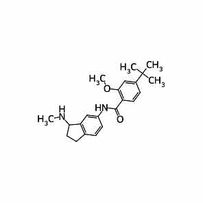 CNC1CCc2ccc(NC(=O)c3ccc(C(C)(C)C)cc3OC)cc21